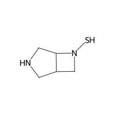 SN1CC2CNCC21